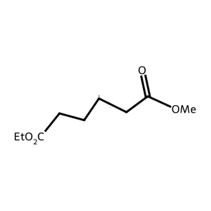 CCOC(=O)CC[CH]CC(=O)OC